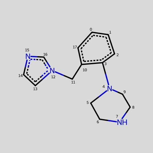 c1ccc(N2CCNCC2)c(Cn2ccnc2)c1